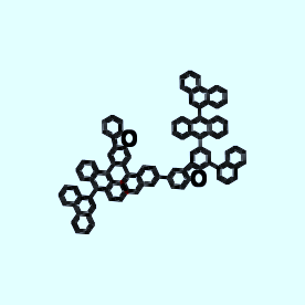 c1cc(-c2cc3oc4ccccc4c3cc2-c2c3ccccc3c(-c3cc4ccccc4c4ccccc34)c3ccccc23)c2ccc(-c3ccc4oc5c(-c6cccc7ccccc67)cc(-c6c7ccccc7c(-c7cc8ccccc8c8ccccc78)c7ccccc67)cc5c4c3)cc2c1